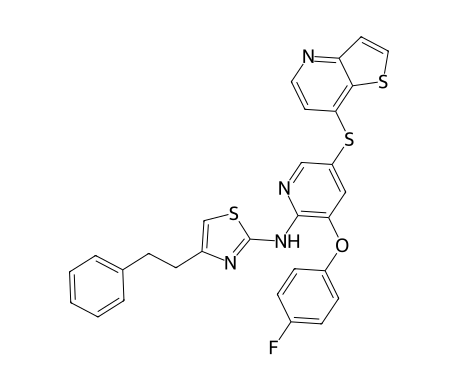 Fc1ccc(Oc2cc(Sc3ccnc4ccsc34)cnc2Nc2nc(CCc3ccccc3)cs2)cc1